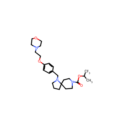 CC(OC(=O)N1CCC2(CCCN2Cc2ccc(OCCN3CCOCC3)cc2)CC1)C(F)(F)F